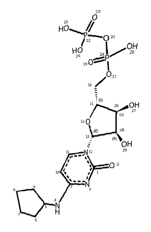 O=c1nc(NC2CCCC2)ccn1[C@@H]1O[C@H](COP(=O)(O)OP(=O)(O)O)[C@@H](O)[C@H]1O